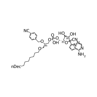 CCCCCCCCCCCCCCCCCOC[C@H](COP(=O)(O)OC[C@H]1O[C@@](C#N)(c2ccc3c(N)ncnn23)[C@H](O)[C@@H]1O)OCc1ccc(C#N)cc1